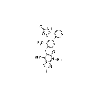 CCCc1c(Cc2ccc(-c3ccccc3-c3noc(=O)[nH]3)cc2C(F)(F)F)c(=O)n(C(C)CC)c2nc(C)nn12